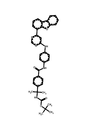 CC(C)(C)OC(=O)NC(C)(C)c1ccc(C(=O)Nc2ccc(Nc3cc(-c4cccc5c4oc4ccccc45)ncn3)cc2)cc1